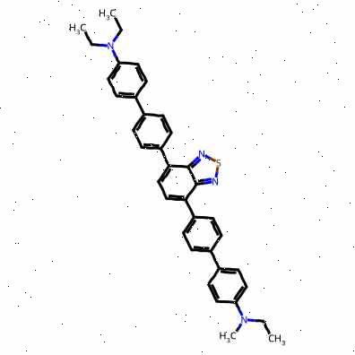 CCN(C)c1ccc(-c2ccc(-c3ccc(-c4ccc(-c5ccc(N(CC)CC)cc5)cc4)c4nsnc34)cc2)cc1